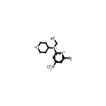 CC(C)CN(c1cc([N+](=O)[O-])cc(Br)n1)C1CCOCC1